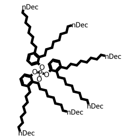 CCCCCCCCCCCCCCCCCCc1cccc(OP(=O)(Oc2cccc(CCCCCCCCCCCCCCCCCC)c2CCCCCCCCCCCCCCCCCC)Oc2cccc(CCCCCCCCCCCCCCCCCC)c2CCCCCCCCCCCCCCCCCC)c1CCCCCCCCCCCCCCCCCC